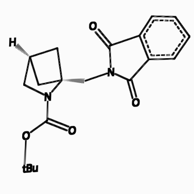 CC(C)(C)OC(=O)N1C[C@H]2C[C@]1(CN1C(=O)c3ccccc3C1=O)C2